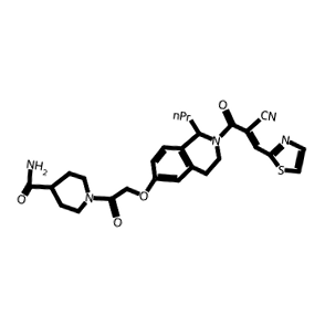 CCCC1c2ccc(OCC(=O)N3CCC(C(N)=O)CC3)cc2CCN1C(=O)C(C#N)=Cc1nccs1